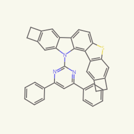 c1ccc(-c2cc(-c3ccccc3)nc(-n3c4cc5c(cc4c4ccc6sc7cc8c(cc7c6c43)CC8)CC5)n2)cc1